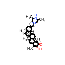 CC1=C(O)C(=O)C=C2C1=CC=C1[C@@]2(C)CC[C@@]2(C)[C@@H]3C[C@](C)(CN4CC(C)NC(C)C4)CC[C@]3(C)CC[C@]12C